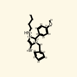 CCCCNN1C=C(Br)N(Cc2ccccc2)C1c1ccc(OC)cc1